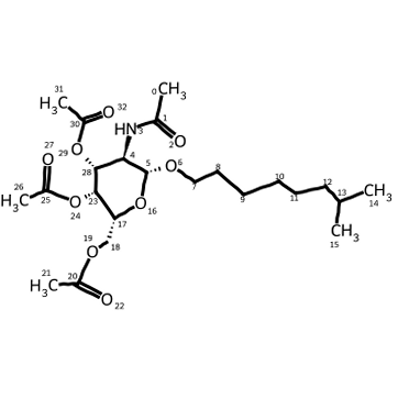 CC(=O)N[C@H]1[C@H](OCCCCCCC(C)C)O[C@H](COC(C)=O)[C@H](OC(C)=O)[C@@H]1OC(C)=O